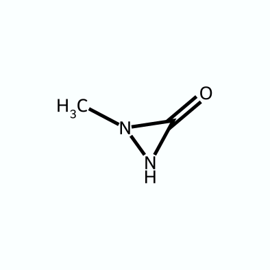 CN1NC1=O